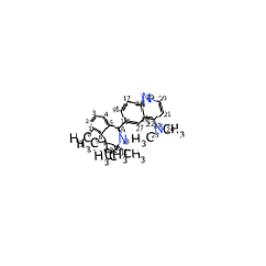 Cc1cccc2c1C(C)(C)C(C)(C)N=C2c1ccc2nccc(N(C)C)c2c1